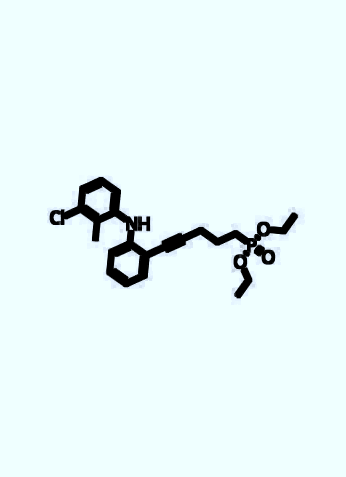 CCOP(=O)(CCCC#Cc1ccccc1Nc1cccc(Cl)c1C)OCC